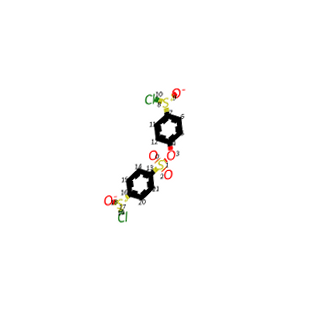 O=S(=O)(Oc1ccc([S+]([O-])Cl)cc1)c1ccc([S+]([O-])Cl)cc1